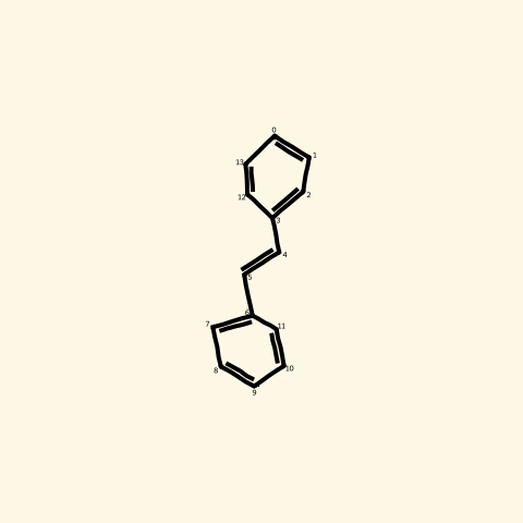 [c]1ccc(C=Cc2cc[c]cc2)cc1